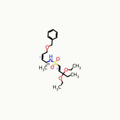 CCOC(/C=C/S(=O)(=O)N[C@H](C)/C=C\COCc1ccccc1)(CC)OCC